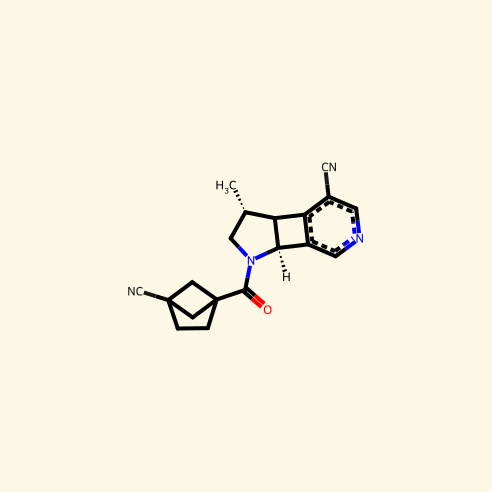 C[C@H]1CN(C(=O)C23CCC(C#N)(C2)C3)[C@@H]2c3cncc(C#N)c3C21